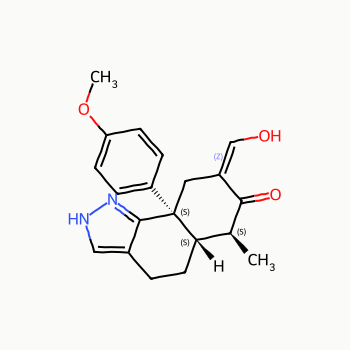 COc1ccc([C@]23C/C(=C/O)C(=O)[C@@H](C)[C@@H]2CCc2c[nH]nc23)cc1